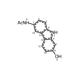 CC(=O)Nc1ccc2[nH]c3cc(O)ccc3c2c1